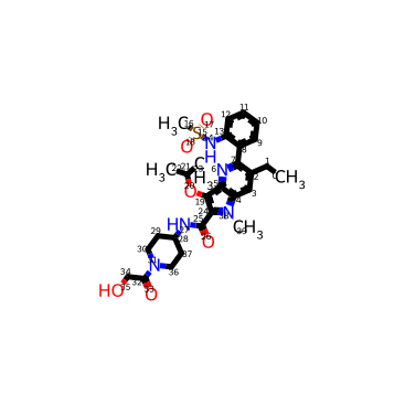 CCc1cc2c(nc1-c1ccccc1NS(C)(=O)=O)c(OC(C)C)c(C(=O)NC1CCN(C(=O)CO)CC1)n2C